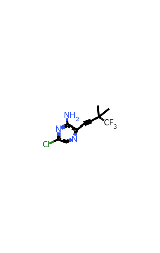 CC(C)(C#Cc1ncc(Cl)nc1N)C(F)(F)F